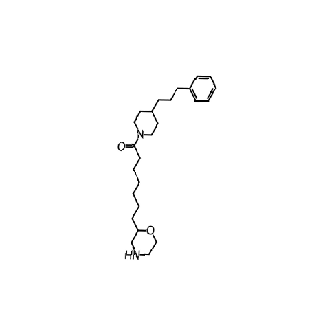 O=C(CCCCCCC1CNCCO1)N1CCC(CCCc2ccccc2)CC1